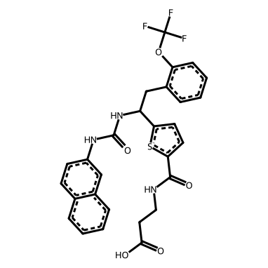 O=C(O)CCNC(=O)c1ccc(C(Cc2ccccc2OC(F)(F)F)NC(=O)Nc2ccc3ccccc3c2)s1